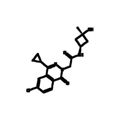 C[C@]1(O)C[C@@H](NC(=O)Cn2nc(C3CC3)c3cc(Cl)ccc3c2=O)C1